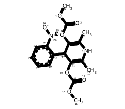 COC(=O)OC1=C(C)NC(C)=C(OC(=O)OC)C1c1ccccc1[N+](=O)[O-]